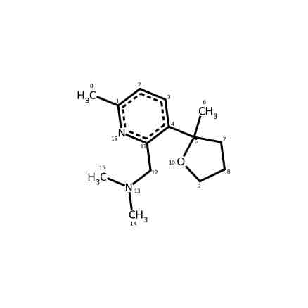 Cc1ccc(C2(C)CCCO2)c(CN(C)C)n1